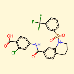 O=C(Nc1ccc(C(=O)O)c(Cl)c1)c1ccc2c(c1)N(S(=O)(=O)c1cccc(C(F)(F)F)c1)CCC2